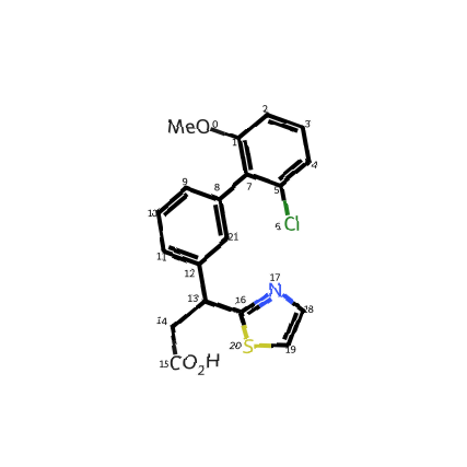 COc1cccc(Cl)c1-c1cccc(C(CC(=O)O)c2nccs2)c1